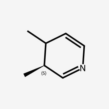 CC1C=CN=C[C@H]1C